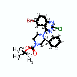 CC(C)(C)OC(=O)N1CCN(c2nc(Cl)nc3ccc(Br)cc23)[C@@H](c2ccccc2)C1